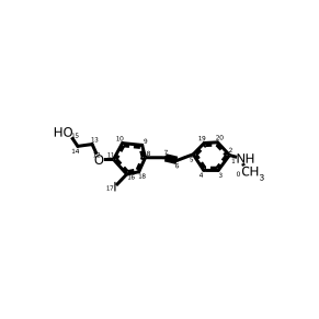 CNc1ccc(C#Cc2ccc(OCCO)c(I)c2)cc1